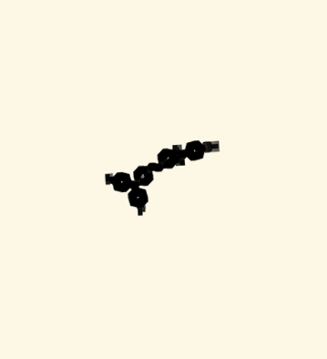 Oc1ccc(-c2nc3ccn(CCN4CCN(C(c5ccc(F)cc5)c5ccc(F)cc5)CC4)cc-3n2)cc1